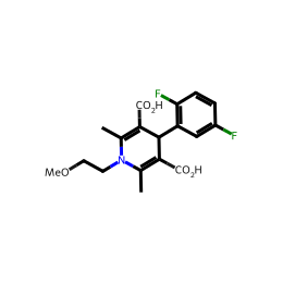 COCCN1C(C)=C(C(=O)O)C(c2cc(F)ccc2F)C(C(=O)O)=C1C